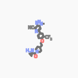 Cn1nnc2c(C#N)nc(-c3ccc(OCCC4CCN(C(=O)C5(N)CC5)CC4)c(C(F)(F)F)c3)cc21